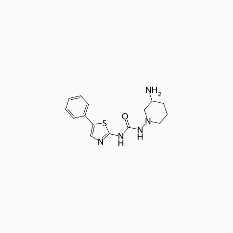 NC1CCCN(NC(=O)Nc2ncc(-c3ccccc3)s2)C1